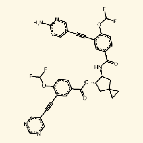 Nc1ncc(C#Cc2cc(C(=O)N[C@H]3CC4(CC4)C[C@@H]3OC(=O)c3ccc(OC(F)F)c(C#Cc4cncnc4)c3)ccc2OC(F)F)cn1